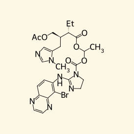 CC[C@H](C(=O)OC(C)OC(=O)N1CCN=C1Nc1ccc2nccnc2c1Br)[C@H](COC(C)=O)Cc1cncn1C